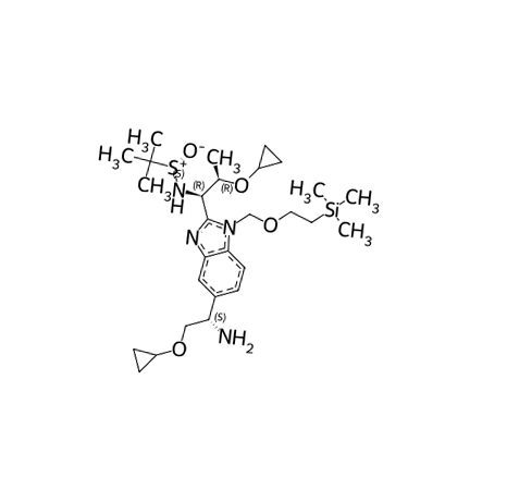 C[C@@H](OC1CC1)[C@H](N[S@+]([O-])C(C)(C)C)c1nc2cc([C@H](N)COC3CC3)ccc2n1COCC[Si](C)(C)C